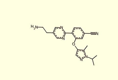 Cc1c(Oc2cc(C#N)ccc2-c2ncc(CCN)cn2)cnn1C(C)C